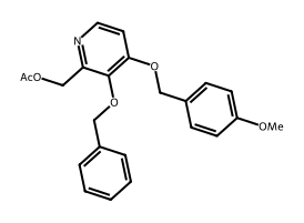 COc1ccc(COc2ccnc(COC(C)=O)c2OCc2ccccc2)cc1